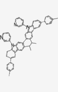 Cc1ccc(C2=Cc3c(n(-c4cccnc4)c4cc5c(cc34)C(C)C(C)c3cc4c6cc(-c7ccc(C)cc7)ccc6n(-c6cccnc6)c4cc3-5)CC2)cc1